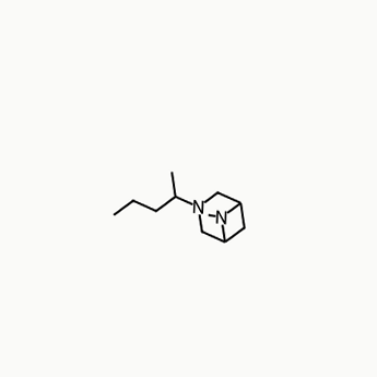 CCCC(C)N1CC2CC(C1)N2C